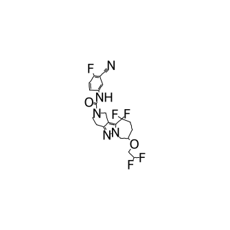 N#Cc1cc(NC(=O)N2CCc3nn4c(c3C2)C(F)(F)CCC(OCC(F)F)C4)ccc1F